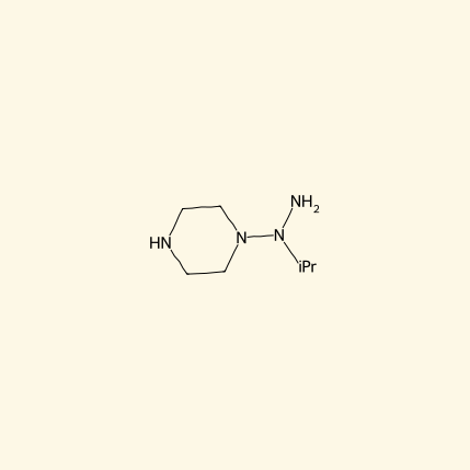 CC(C)N(N)N1CCNCC1